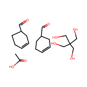 CC(=O)O.O=CC1CC=CCC1.O=CC1CC=CCC1.OCC(CO)(CO)CO